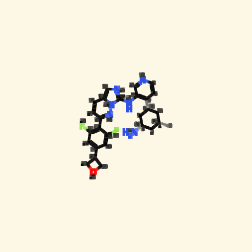 C[C@@H]1C[C@H](N)C[C@H](c2ccncc2Nc2ncc3ccc(-c4c(F)cc(C5COC5)cc4F)nn23)C1